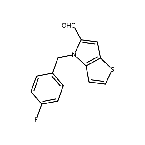 O=Cc1cc2sccc2n1Cc1ccc(F)cc1